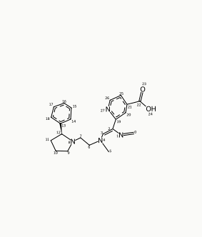 C=N/C(=C\N(C)CCN1CCC[C@H]1c1ccccc1)c1cc(C(=O)O)ccn1